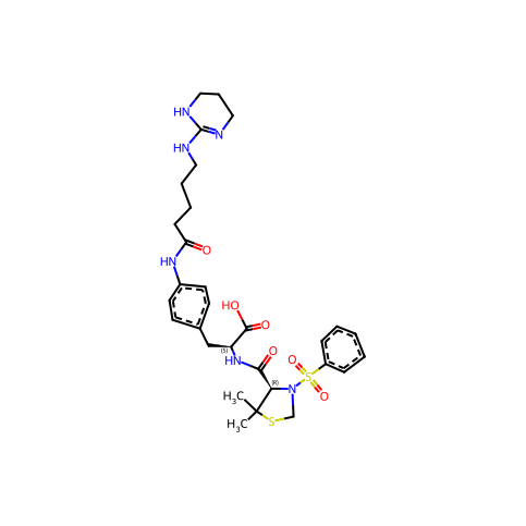 CC1(C)SCN(S(=O)(=O)c2ccccc2)[C@@H]1C(=O)N[C@@H](Cc1ccc(NC(=O)CCCCNC2=NCCCN2)cc1)C(=O)O